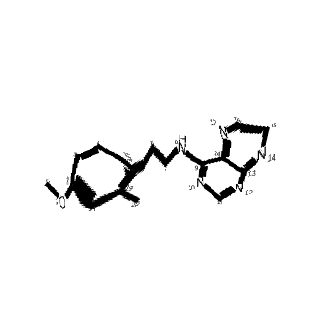 COc1ccc(CCNc2ncnc3nccnc23)c(C)c1